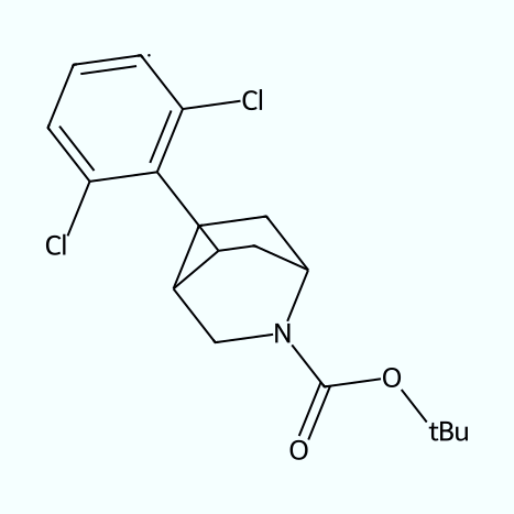 CC(C)(C)OC(=O)N1CC2CCC1CC2c1c(Cl)[c]ccc1Cl